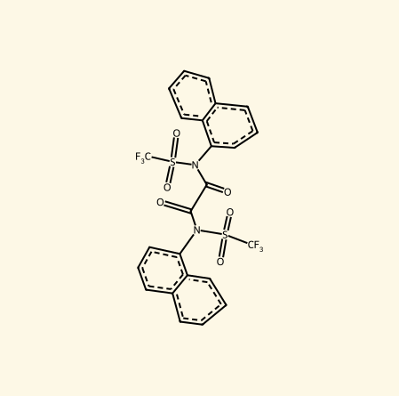 O=C(C(=O)N(c1cccc2ccccc12)S(=O)(=O)C(F)(F)F)N(c1cccc2ccccc12)S(=O)(=O)C(F)(F)F